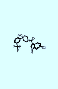 O=C(c1c[nH]c2cc(Cl)ccc12)N1CCC(O)(c2cccc(C(F)(F)F)c2)CC1